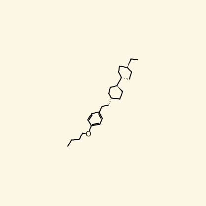 CCCCOc1ccc(CC[C@H]2CC[C@H]([C@H]3CC[C@H](CC)CC3)CC2)cc1